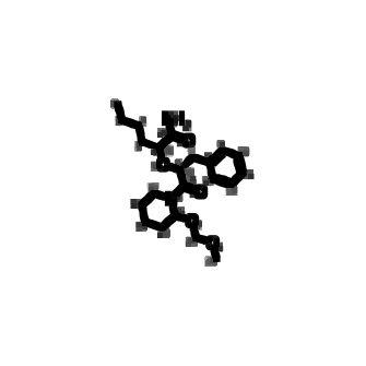 CCCC[C@H](O[C@@H](Cc1ccccc1)C(=O)N1CCCCC1OCOC)C(N)=O